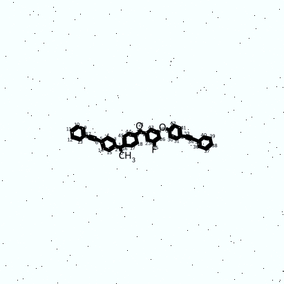 CC(c1ccc(C#Cc2ccccc2)cc1)c1ccc(C(=O)c2cc(F)cc(Oc3ccc(C#Cc4ccccc4)cc3)c2)cc1